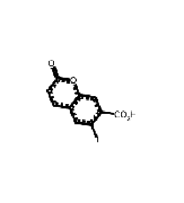 O=C(O)c1cc2oc(=O)ccc2cc1I